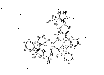 COc1ccc(-n2nnnc2C(F)(F)F)cc1CN1CC2CN(C(=O)C(C)O[Si](c3ccccc3)(c3ccccc3)C(C)(C)C)CCN2C(C(c2ccccc2)c2ccccc2)C1